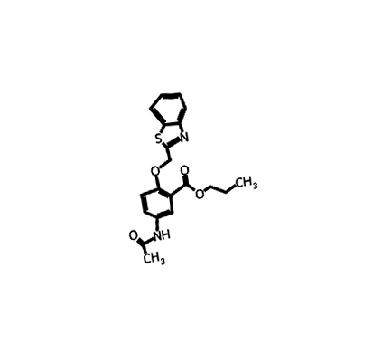 CCCOC(=O)c1cc(NC(C)=O)ccc1OCc1nc2ccccc2s1